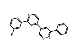 Fc1cccc(-c2cc(-c3cnnc(-c4ccccc4)c3)ccn2)c1